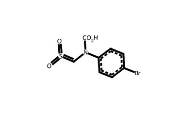 O=C(O)N(C=S(=O)=O)c1ccc(Br)cc1